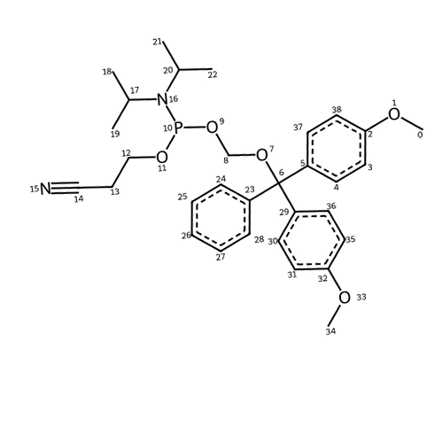 COc1ccc(C(OCOP(OCCC#N)N(C(C)C)C(C)C)(c2ccccc2)c2ccc(OC)cc2)cc1